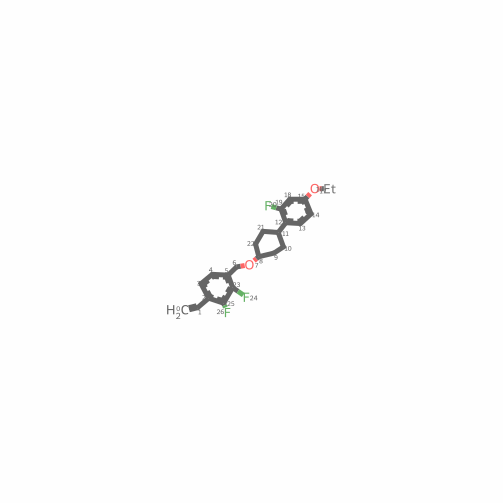 C=Cc1ccc(COC2CCC(c3ccc(OCC)cc3F)CC2)c(F)c1F